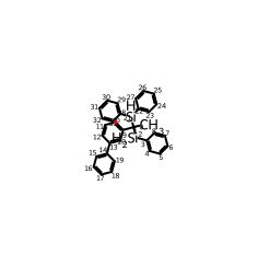 CC([SiH2]c1ccccc1)(c1cccc(-c2ccccc2)c1)[SiH](c1ccccc1)c1ccccc1